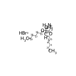 Br.CCCCCCOC(CN)C(C)(C)OCCCCCC